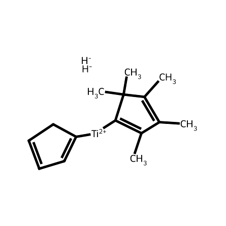 CC1=C(C)C(C)(C)[C]([Ti+2][C]2=CC=CC2)=C1C.[H-].[H-]